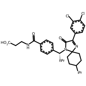 CCC[C@H](c1ccc(C(=O)NCCC(=O)O)cc1)N1C(=O)C(c2ccc(Cl)c(Cl)c2)=NC12CCC(C(C)C)CC2